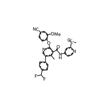 COc1cc(C#N)ccc1Oc1ncc(-c2ccc(C(F)F)cc2)c(C)c1C(=O)Nc1ccnc([S+](C)[O-])c1